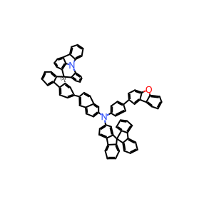 c1ccc2c(c1)-c1ccccc1C21c2ccccc2-c2ccc(N(c3ccc(-c4ccc5oc6ccccc6c5c4)cc3)c3ccc4cc(-c5ccc6c(c5)[C@@]5(c7ccccc7-6)c6ccccc6-n6c7ccccc7c7cccc5c76)ccc4c3)cc21